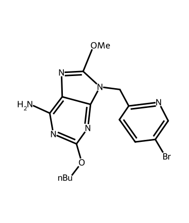 CCCCOc1nc(N)c2nc(OC)n(Cc3ccc(Br)cn3)c2n1